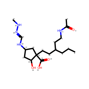 CCCC(CCNC(C)=O)CCC1(C(=O)O)CC(NC=NNC)CC1O